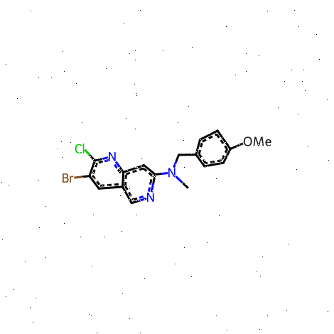 COc1ccc(CN(C)c2cc3nc(Cl)c(Br)cc3cn2)cc1